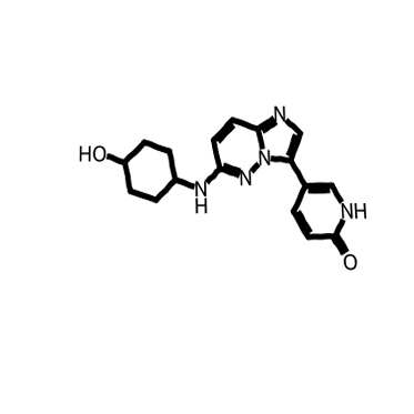 O=c1ccc(-c2cnc3ccc(NC4CCC(O)CC4)nn23)c[nH]1